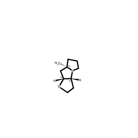 C[C@]12CCCN1[C@@H]1CCO[C@@H]1C2